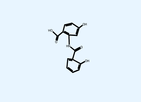 O=C(Nc1cc(O)ccc1C(=O)O)c1ccccc1O